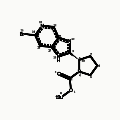 CC(C)(C)OC(=O)N1CCC[C@H]1c1nc2cnc(Br)cc2[nH]1